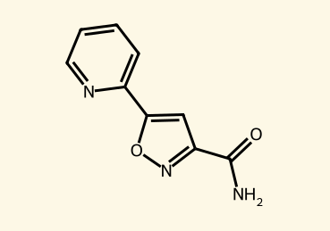 NC(=O)c1cc(-c2ccccn2)on1